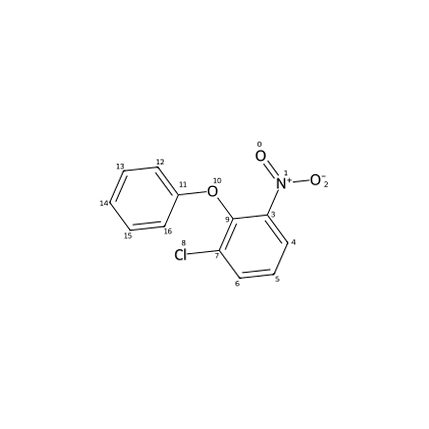 O=[N+]([O-])c1cccc(Cl)c1Oc1ccccc1